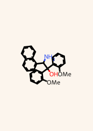 COc1ccccc1C(O)(c1ccccc1OC)C(N)c1cccc2ccccc12